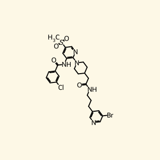 CS(=O)(=O)c1cnc(N2CCC(CC(=O)NCCCc3cncc(Br)c3)CC2)c(NC(=O)c2cccc(Cl)c2)c1